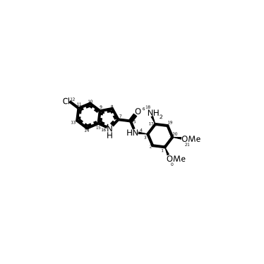 CO[C@H]1C[C@@H](NC(=O)c2cc3cc(Cl)ccc3[nH]2)[C@@H](N)C[C@H]1OC